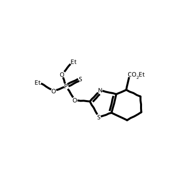 CCOC(=O)C1CCCc2sc(OP(=S)(OCC)OCC)nc21